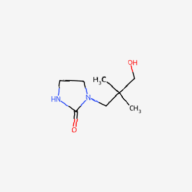 CC(C)(CO)CN1CCNC1=O